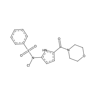 O=C(c1ccc(N(Cl)S(=O)(=O)c2ccccc2)[nH]1)N1CCOCC1